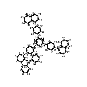 C1=CC2c3cccc(-c4ccc(-c5nc(-c6ccc(-c7cccc8ccccc78)cc6)nc(-c6ccc(-c7cccc8ccccc78)cc6)n5)cc4)c3N(c3ccccc3)C2C=C1